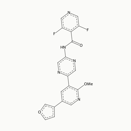 COc1ncc(-c2ccoc2)cc1-c1cnc(NC(=O)c2c(F)cncc2F)cn1